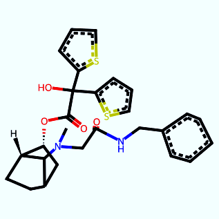 CN(CC(=O)NCc1ccccc1)C1C2CC[C@@H]1[C@H](OC(=O)C(O)(c1cccs1)c1cccs1)C2